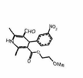 COCCOC(=O)C1=C(C)NC(C)=C(C=O)C1c1cccc([N+](=O)[O-])c1